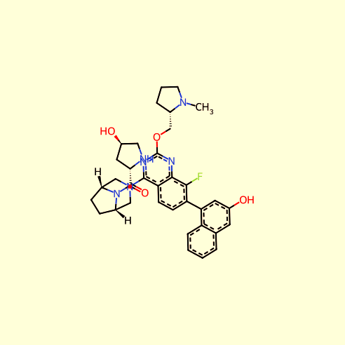 CN1CCC[C@H]1COc1nc(N2C[C@H]3CC[C@@H](C2)N3C(=O)[C@@H]2C[C@@H](O)CN2)c2ccc(-c3cc(O)cc4ccccc34)c(F)c2n1